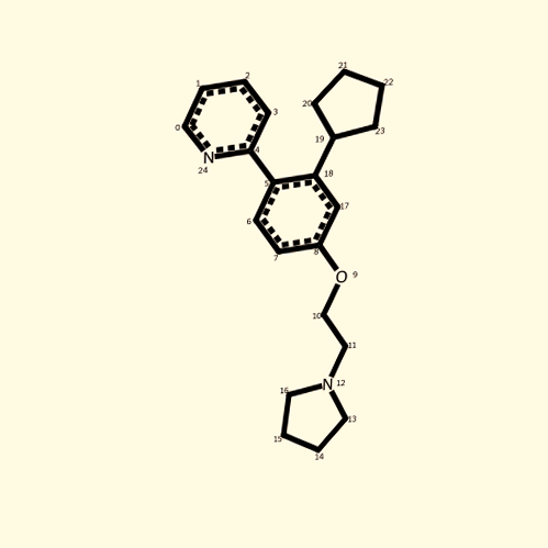 [c]1cccc(-c2ccc(OCCN3CCCC3)cc2C2CCCC2)n1